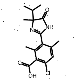 Cc1cc(Cl)c(C(=O)O)c(C)c1C1=NC(C)(C(C)C)C(=O)N1